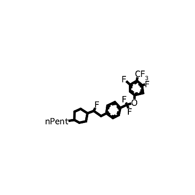 CCCCCC1CCC(C(F)Cc2ccc(C(F)(F)Oc3cc(F)c(C(F)(F)F)c(F)c3)cc2)CC1